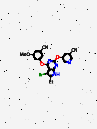 CCc1[nH]c2nc(Oc3cncc(C#N)c3)nc(Oc3cc(C#N)cc(OC)c3)c2c1Br